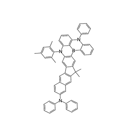 Cc1cc(C)c(N2c3cc4c(cc3B3c5ccccc5N(c5ccccc5)c5cccc2c53)C(C)(C)c2cc3cc(N(c5ccccc5)c5ccccc5)ccc3cc2-4)c(C)c1